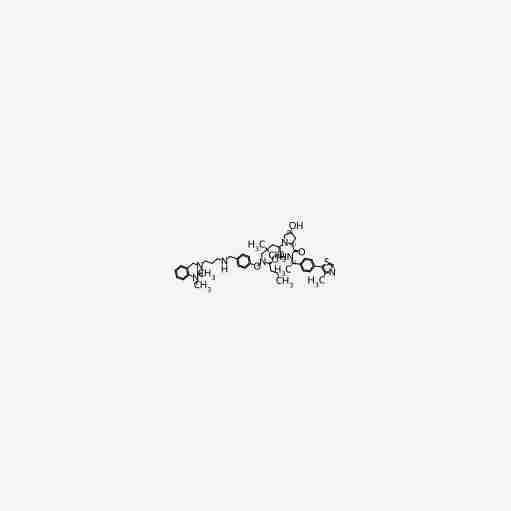 CCCC(=O)N(CC(C)(C)CC(=O)N1C[C@H](O)C[C@H]1C(=O)N[C@@H](C)c1ccc(-c2scnc2C)cc1)Oc1ccc(CNCCCNCc2ccccc2N(C)C)cc1